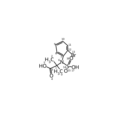 CC(C)(C(=O)O)N(c1ccccc1Br)S(=O)(=O)O